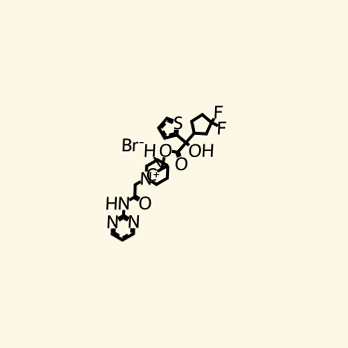 O=C(C[N+]12CCC(CC1)[C@@H](OC(=O)C(O)(c1cccs1)C1CCC(F)(F)C1)C2)Nc1ncccn1.[Br-]